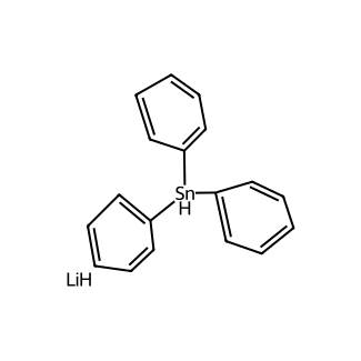 [LiH].c1cc[c]([SnH]([c]2ccccc2)[c]2ccccc2)cc1